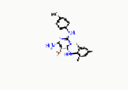 Cc1cc(C)c(Nc2nc(Nc3ccc(C#N)cc3)nc(N)c2Br)c(C)c1